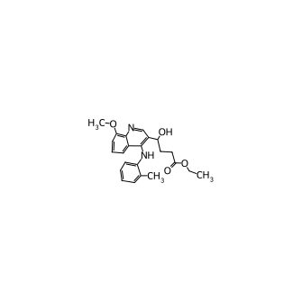 CCOC(=O)CCC(O)c1cnc2c(OC)cccc2c1Nc1ccccc1C